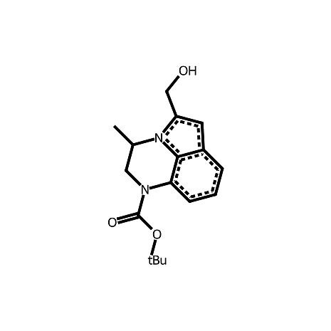 CC1CN(C(=O)OC(C)(C)C)c2cccc3cc(CO)n1c23